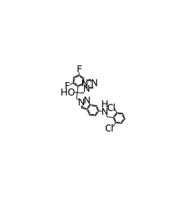 OC(Cn1cncn1)(Cn1cc2ccc(NCc3c(Cl)cccc3Cl)cc2n1)c1ccc(F)cc1F